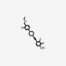 CCOCc1ccc(C2CCC(C#Cc3ccc(O)c(F)c3F)CC2)cc1F